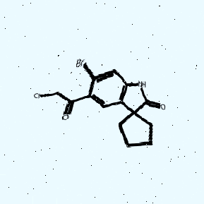 O=C(CCl)c1cc2c(cc1Br)NC(=O)C21CCCC1